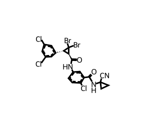 N#CC1(NC(=O)c2cc(NC(=O)[C@H]3[C@H](c4cc(Cl)cc(Cl)c4)C3(Br)Br)ccc2Cl)CC1